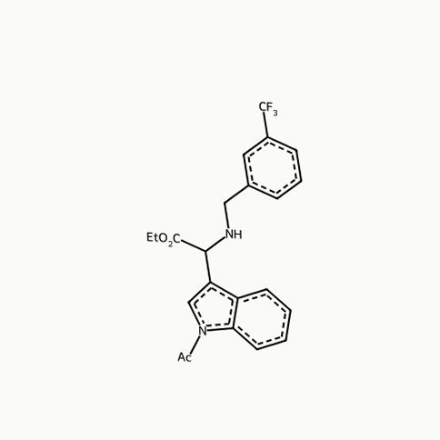 CCOC(=O)C(NCc1cccc(C(F)(F)F)c1)c1cn(C(C)=O)c2ccccc12